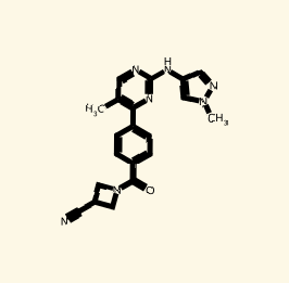 Cc1cnc(Nc2cnn(C)c2)nc1-c1ccc(C(=O)N2CC(C#N)C2)cc1